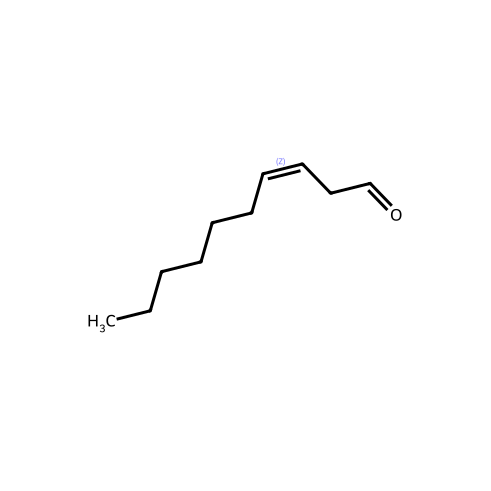 CCCCCC/C=C\CC=O